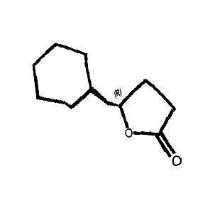 O=C1CC[C@H](C2CCCCC2)O1